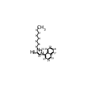 CCCCCCCCN1C=CN(c2cccc3ccccc23)C1.I